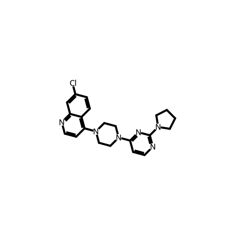 Clc1ccc2c(N3CCN(c4ccnc(N5CCCC5)n4)CC3)ccnc2c1